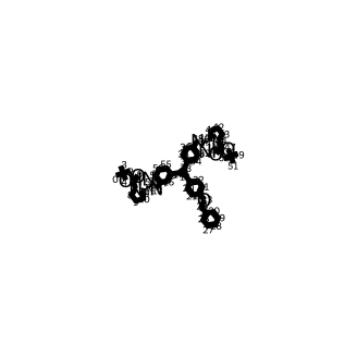 CC(C)(C)OC(=O)N1CCC[C@H]1c1nc2cc(C3C(c4ccc(OCc5ccccc5)cc4)C3c3ccc4nc([C@@H]5CCCN5C(=O)OC(C)(C)C)[nH]c4c3)ccc2[nH]1